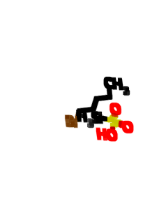 CCCCCBr.O=S(=O)(O)[SiH3]